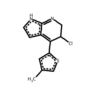 Cc1csc(C2=c3cc[nH]c3=NCC2Cl)c1